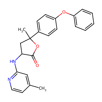 Cc1ccnc(NC2CC(C)(c3ccc(Oc4ccccc4)cc3)OC2=O)c1